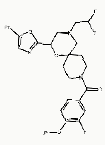 CC(C)Oc1ccc(C(=O)N2CCC3(CC2)CN(CC(F)F)CC(c2ncc(C(C)C)o2)O3)cc1F